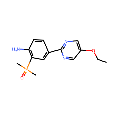 CCOc1cnc(-c2ccc(N)c(P(C)(C)=O)c2)nc1